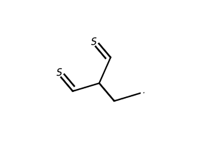 [CH2]CC(C=S)C=S